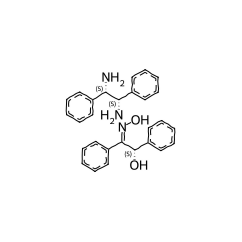 N[C@@H](c1ccccc1)[C@@H](N)c1ccccc1.ON=C(c1ccccc1)[C@@H](O)c1ccccc1